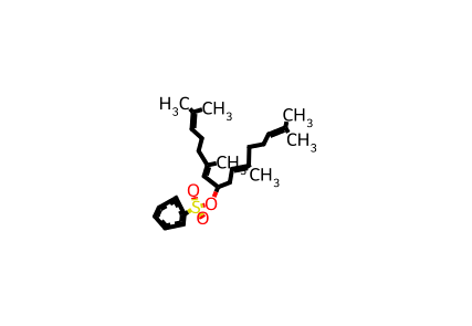 CC(C)=CCC/C(C)=C/CC(/C=C(\C)CCC=C(C)C)OS(=O)(=O)c1ccccc1